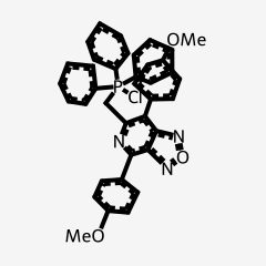 COc1ccc(-c2nc(CP(Cl)(c3ccccc3)(c3ccccc3)c3ccccc3)c(-c3ccc(OC)cc3)c3nonc23)cc1